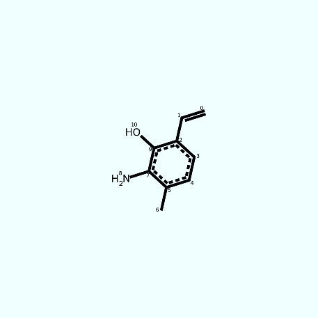 C=Cc1ccc(C)c(N)c1O